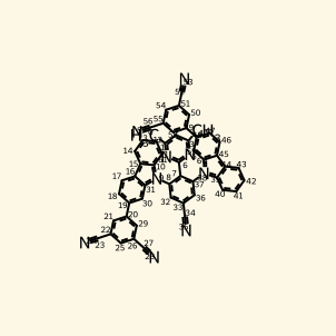 Cc1cc(C)nc(-c2c(-n3c4ccccc4c4ccc(-c5cc(C#N)cc(C#N)c5)cc43)cc(C#N)cc2-n2c3ccccc3c3ccc(-c4cc(C#N)cc(C#N)c4)cc32)n1